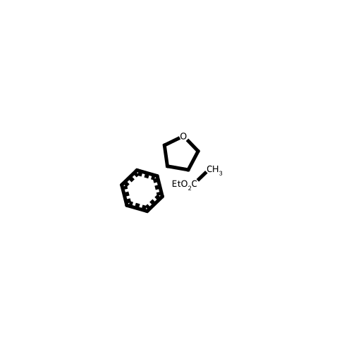 C1CCOC1.CCOC(C)=O.c1ccccc1